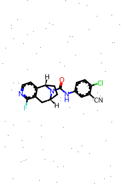 N#Cc1cc(NC(=O)N2[C@@H]3CC[C@H]2c2ccnc(F)c2C3)ccc1Cl